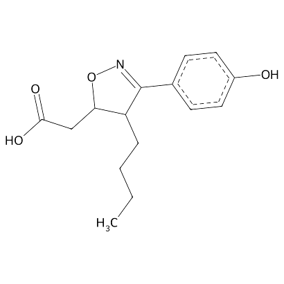 CCCCC1C(c2ccc(O)cc2)=NOC1CC(=O)O